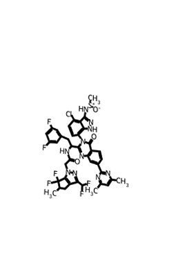 Cc1cc(C)nc(-c2ccc3c(=O)n(-c4ccc(Cl)c5c(N[S+](C)[O-])n[nH]c45)c(C(Cc4cc(F)cc(F)c4)NC(=O)Cn4nc(C(F)F)c5c4C(F)(F)C(C)C5)nc3c2)n1